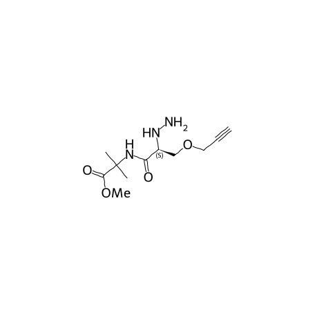 C#CCOC[C@H](NN)C(=O)NC(C)(C)C(=O)OC